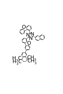 CC1(C)CCC(C)(C)c2cc(-c3ccc4oc5c(-c6nc(-c7ccc8ccccc8c7)nc(-c7cccc8oc9ccccc9c78)n6)cccc5c4c3)ccc21